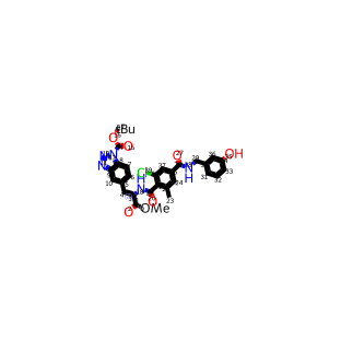 COC(=O)/C(=C/c1ccc2c(c1)nnn2C(=O)OC(C)(C)C)NC(=O)c1c(C)cc(C(=O)NCc2cccc(O)c2)cc1Cl